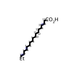 CC/C=C/C/C=C/CCCCCCCCC/C=C/CC(=O)O